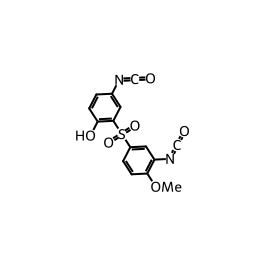 COc1ccc(S(=O)(=O)c2cc(N=C=O)ccc2O)cc1N=C=O